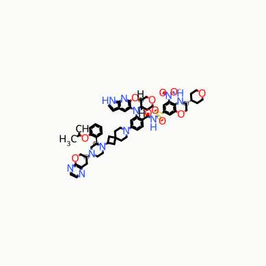 CC(C)Oc1ccccc1[C@@H]1CN([C@@H]2COc3nccnc3C2)CCN1C1CC2(CCN(c3ccc(C(=O)NS(=O)(=O)c4cc5c(c([N+](=O)[O-])c4)N[C@H](C4CCOCC4)CO5)c(N4c5cc6cc[nH]c6nc5O[C@H]5COCC[C@@H]54)c3)CC2)C1